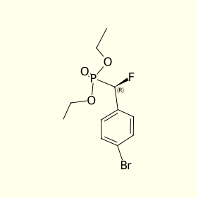 CCOP(=O)(OCC)[C@@H](F)c1ccc(Br)cc1